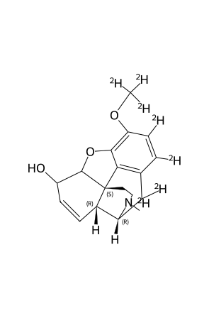 [2H]c1c([2H])c2c3c(c1OC([2H])([2H])[2H])OC1C(O)C=C[C@H]4[C@H](N(C)CC[C@]314)C2([2H])[2H]